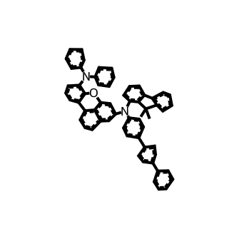 CC1(C)c2ccccc2-c2cccc(N(c3ccc(-c4ccc(-c5ccccc5)cc4)cc3)c3cc4c5c(cccc5c3)-c3cccc(N(c5ccccc5)c5ccccc5)c3O4)c21